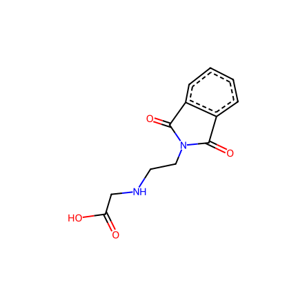 O=C(O)CNCCN1C(=O)c2ccccc2C1=O